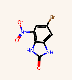 O=c1[nH]c2cc(Br)cc([N+](=O)[O-])c2[nH]1